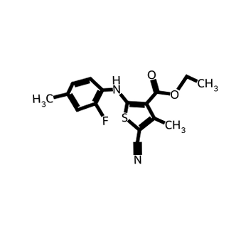 CCOC(=O)c1c(Nc2ccc(C)cc2F)sc(C#N)c1C